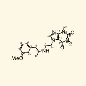 COc1cccc(CC(C)NCCn2cnc3c2c(=O)n(C)c(=O)n3C)c1